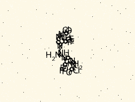 COc1ccc(CN2CCN(Cc3ccc4c(c3)c(-c3ccc(OC(F)(F)F)cc3CN)cn4CCC(N)NCCCn3cc(-c4ccc(OC(F)(F)F)cc4CN)c4cc(CN5CCN(Cc6cccc(OC)c6Cl)CC5)ccc43)CC2)c(Cl)c1